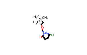 C[Si](C)(C)CCOCn1nc(Cl)ccc1=O